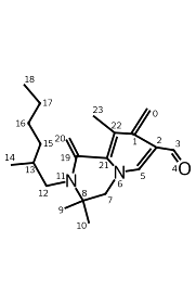 C=C1C(C=O)=CN2CC(C)(C)N(CC(C)CCCC)C(=C)C2=C1C